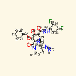 C[C@H]1CCC(=NN(C)C)[C@H]2CN1C(=O)c1c(OCc3ccccc3)c(=O)c(C(=O)NCc3ccc(F)cc3F)cn12